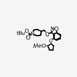 CO[C@@H]1CCC[C@@H]1Oc1cccc2onc(OCC3CCN(C(=O)OC(C)(C)C)CC3)c12